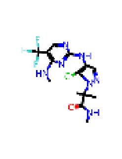 CNC(=O)C(C)(C)n1ncc(Nc2ncc(C(F)(F)F)c(NC)n2)c1Cl